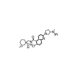 CC(C)N(C)C1CCN(c2ccc3c(C(=O)NC[C@]4(O)CCC[C@H](C)C4)c(Cl)ccc3n2)C1